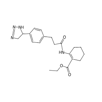 CCOC(=O)C1=C(NC(=O)CCc2ccc(C3CN=NN3)cc2)CCCC1